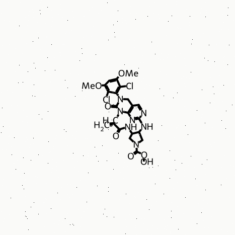 C=CC(=O)NC1CN(C(=O)OO)CC1Nc1ncc2c(n1)N(C)C(=O)N(c1c(Cl)c(OC)cc(OC)c1Cl)C2